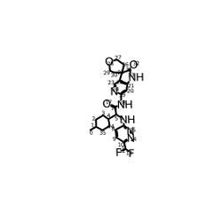 CC1CCC(C(Nc2ccc(C(F)F)nn2)C(=O)Nc2cc3c(cn2)C2(CCOCC2)C(=O)N3)CC1